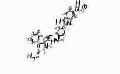 CCCN(CC(=O)Nc1ccc(-c2nc3cc(NC=O)ccc3[nH]2)cc1)C(=O)Cc1ccccc1